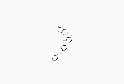 Cc1ccccc1NC(=O)c1ccc(-n2ccc(C)c(N3CCc4nc(N)ncc4C3)c2=O)cc1